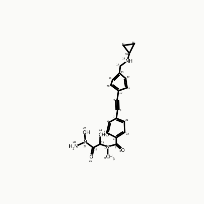 CN(C(=O)c1ccc(C#Cc2ccc(CNC3CC3)cc2)cc1)C(C=O)C(=O)N(N)O